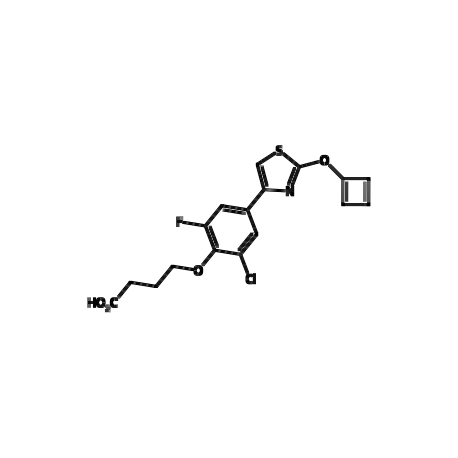 O=C(O)CCCOc1c(F)cc(-c2csc(OC3=CC=C3)n2)cc1Cl